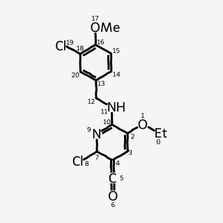 CCOC1=CC(=C=O)C(Cl)N=C1NCc1ccc(OC)c(Cl)c1